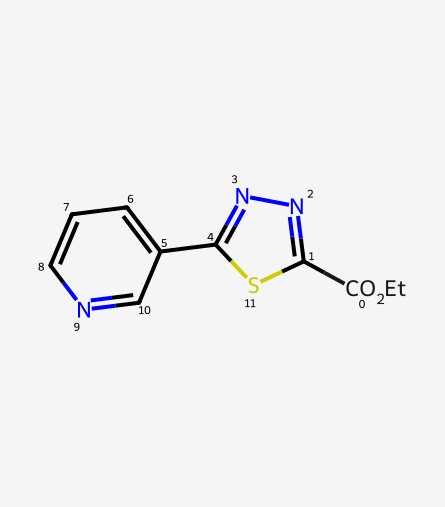 CCOC(=O)c1nnc(-c2cccnc2)s1